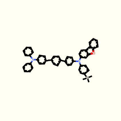 C[Si](C)(C)c1ccc(N(c2ccc(-c3ccc(-c4ccc(N(c5ccccc5)c5ccccc5)cc4)cc3)cc2)c2ccc3c(c2)oc2ccccc23)cc1